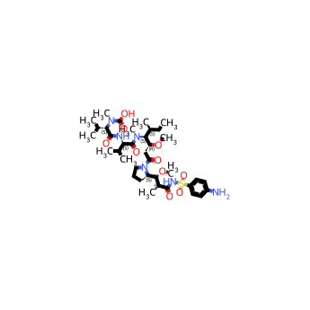 CC[C@H](C)[C@@H]([C@@H](CC(=O)N1CCC[C@H]1[C@H](OC)[C@@H](C)C(=O)NS(=O)(=O)c1ccc(N)cc1)OC)N(C)C(=O)[C@@H](NC(=O)[C@H](C(C)C)N(C)C(=O)O)C(C)C